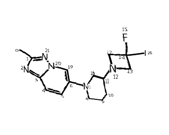 Cc1nc2ccc(N3CCCC(N4CC(F)(I)C4)C3)cn2n1